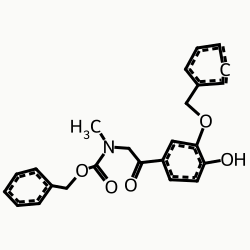 CN(CC(=O)c1ccc(O)c(OCc2ccccc2)c1)C(=O)OCc1ccccc1